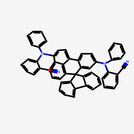 N#Cc1ccccc1N(c1ccccc1)c1ccc2c(c1)C1(c3ccccc3-c3ccccc31)c1cccc3c(N(c4ccccc4)c4ccccc4C#N)ccc-2c13